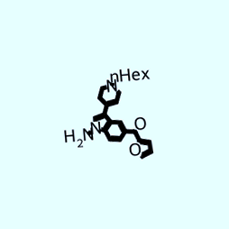 CCCCCCN1CC=C(c2cn(N)c3ccc(C(=O)c4ccco4)cc23)CC1